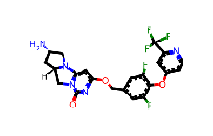 N[C@H]1C[C@H]2Cn3c(cc(OCc4cc(F)c(Oc5ccnc(C(F)(F)F)c5)c(F)c4)nc3=O)N2C1